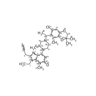 CCn1c(CC#N)nc2c(N3C[C@@H](C)N(C(C)c4cc5c(cc4Cl)OCC(C)(C)O5)C[C@@H]3C)nc(=O)n(C)c21